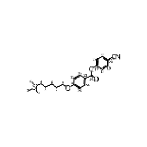 C[Si](C)(C)CCCCCOc1ccc(C(=O)Oc2ccc(C#N)cc2)cc1